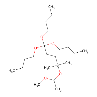 CCCCOC(CC[Si](C)(C)OC(C)OC)(OCCCC)OCCCC